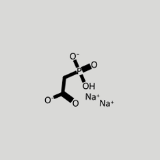 O=C([O-])CP(=O)([O-])O.[Na+].[Na+]